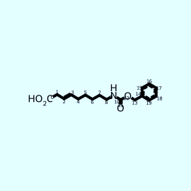 O=C(O)CC=CCCCCCNC(=O)OCc1ccccc1